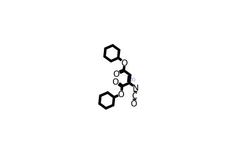 O=C=N/C(=C/C(=O)OC1CCCCC1)C(=O)OC1CCCCC1